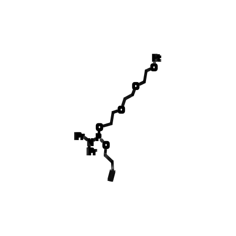 C#CCCOP(OCCOCCOCCOCC)N(C(C)C)C(C)C